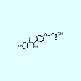 N=C(N[C@@H]1CCNC1)c1ccc(OCCC(=O)O)cc1